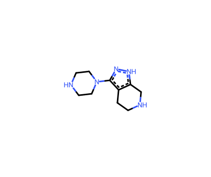 C1CN(c2n[nH]c3c2CCNC3)CCN1